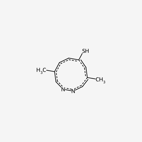 Cc1ccc(S)cc(C)cnnc1